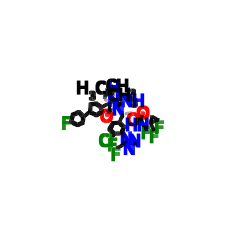 CC(C)(C)C[C@]1(c2ccc(-c3ccc(F)cc3)cc2)NC(=N)N([C@H](COC(=O)NC2(C(F)(F)F)CC2)c2ccc(Cl)c(-n3ncnc3C(F)F)c2)C1=O